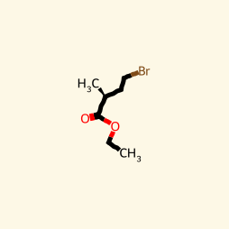 CCOC(=O)[C@@H](C)CCBr